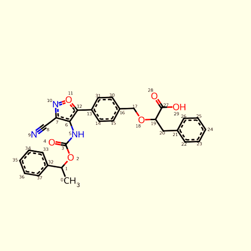 CC(OC(=O)Nc1c(C#N)noc1-c1ccc(COC(Cc2ccccc2)C(=O)O)cc1)c1ccccc1